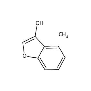 C.Oc1coc2ccccc12